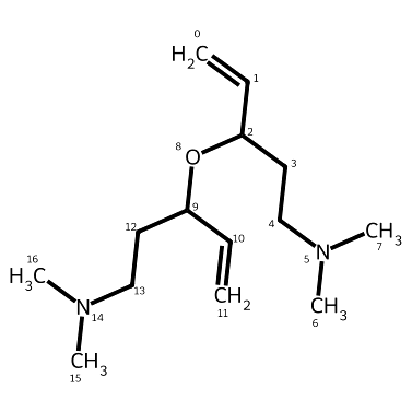 C=CC(CCN(C)C)OC(C=C)CCN(C)C